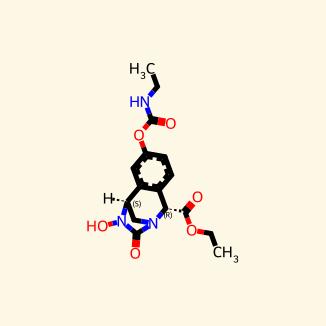 CCNC(=O)Oc1ccc2c(c1)[C@H]1CN(C(=O)N1O)[C@H]2C(=O)OCC